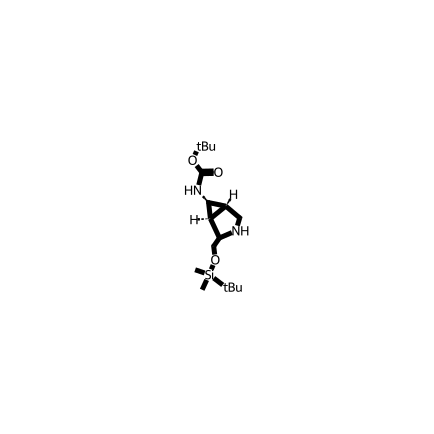 CC(C)(C)OC(=O)N[C@@H]1[C@H]2CNC(CO[Si](C)(C)C(C)(C)C)[C@H]21